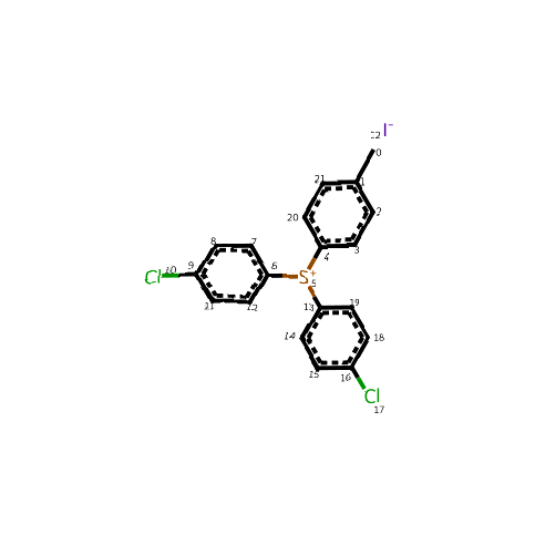 Cc1ccc([S+](c2ccc(Cl)cc2)c2ccc(Cl)cc2)cc1.[I-]